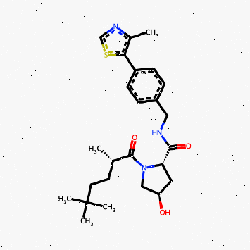 Cc1ncsc1-c1ccc(CNC(=O)[C@@H]2C[C@@H](O)CN2C(=O)[C@@H](C)CCC(C)(C)C)cc1